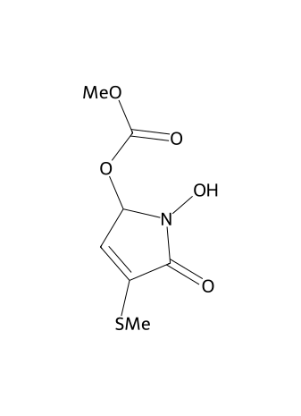 COC(=O)OC1C=C(SC)C(=O)N1O